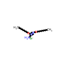 CCCCCCCCCCCCOCCN1CC[N+](CCCN)(CCOCCCCCCCCCCCC)CC1.[Br-]